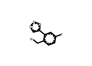 Fc1ccc(CBr)c(-c2csnn2)c1